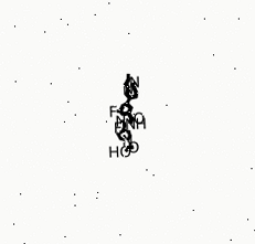 Cc1cn2cc(-c3cc(F)c4nc(C5(F)CCN(C(=O)O)CC5)[nH]c(=O)c4c3)ccc2n1